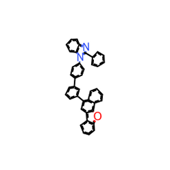 c1ccc(-c2nc3ccccc3n2-c2ccc(-c3cccc(-c4cc5c6ccccc6oc5c5ccccc45)c3)cc2)cc1